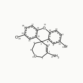 NC1=NC2(CCOC1)c1cc(Br)ccc1Oc1cnc(Cl)cc12